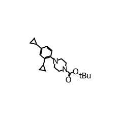 CC(C)(C)OC(=O)N1CCN(c2ccc(C3CC3)cc2C2CC2)CC1